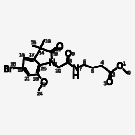 COC(=O)CCCNC(=O)CN1C(=O)C(C)(C)c2cc(Br)cc(OC)c21